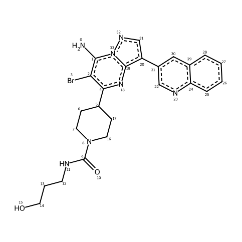 Nc1c(Br)c(C2CCN(C(=O)NCCCO)CC2)nc2c(-c3cnc4ccccc4c3)cnn12